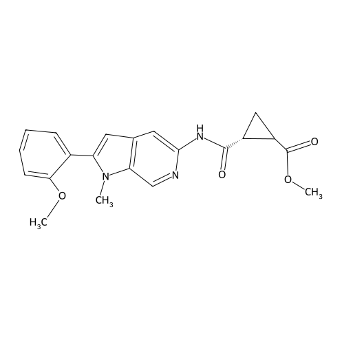 COC(=O)C1C[C@H]1C(=O)Nc1cc2cc(-c3ccccc3OC)n(C)c2cn1